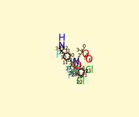 CC(C)(C)OC=O.FC1(c2ccc(C3=NO[C@](c4cc(Cl)cc(Cl)c4)(C(F)(F)F)C3)cc2)CNC1